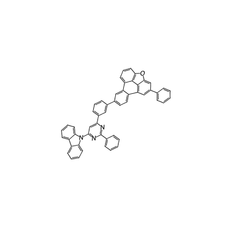 c1ccc(-c2cc3oc4cccc5c6cc(-c7cccc(-c8cc(-n9c%10ccccc%10c%10ccccc%109)nc(-c9ccccc9)n8)c7)ccc6c(c2)c3c45)cc1